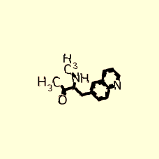 CNC(Cc1ccc2ncccc2c1)C(C)=O